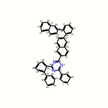 c1ccc(-c2nc(-c3ccc4cc(-c5ccccc5-c5ccc6ccccc6c5)ccc4c3)nc(-c3ccccc3-c3ccccc3)n2)cc1